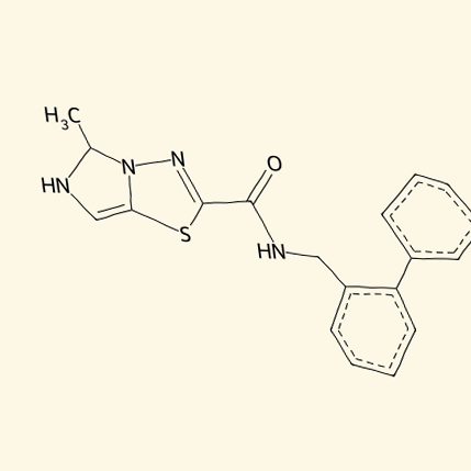 CC1NC=C2SC(C(=O)NCc3ccccc3-c3ccccc3)=NN21